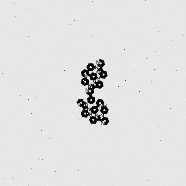 C1=CNC(c2cc3c4c(c2)-n2c5c(cccc5c5c6ncccc6n(-c6cccc(-c7cnc8c(c7)c7c9cccc%10c9n(c7n8-c7ccccc7)-c7cc(-c8ccccn8)cc8c7B%10c7cccc9c%10c%11cccnc%11n(-c%11ccccc%11)c%10n-8c79)c6)c52)B4c2cccc4c5c6ncccc6n(-c6ccccc6)c5n-3c24)C=C1